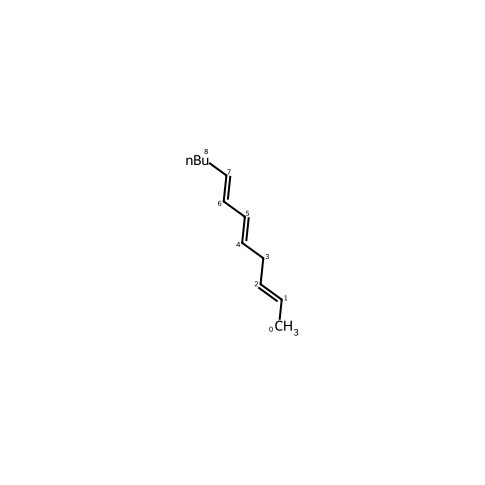 CC=CCC=CC=CCCCC